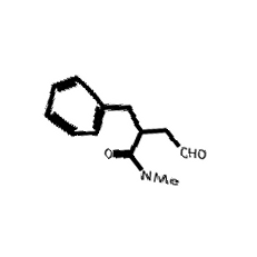 CNC(=O)C(CC=O)Cc1ccccc1